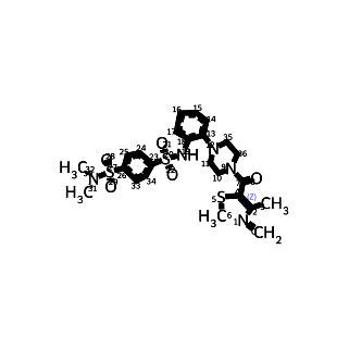 C=N/C(C)=C(\SC)C(=O)N1CCN(c2ccccc2NS(=O)(=O)c2ccc(S(=O)(=O)N(C)C)cc2)CC1